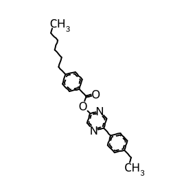 CCCCCCc1ccc(C(=O)Oc2cnc(-c3ccc(CC)cc3)cn2)cc1